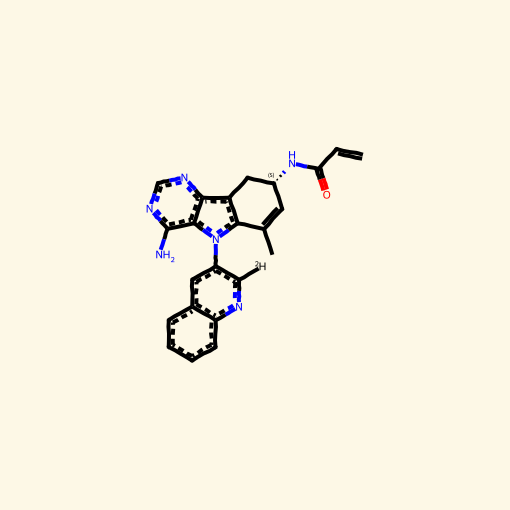 [2H]c1nc2ccccc2cc1-n1c2c(c3ncnc(N)c31)C[C@H](NC(=O)C=C)C=C2C